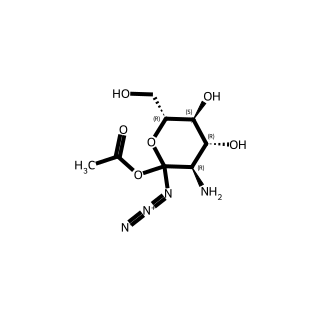 CC(=O)OC1(N=[N+]=[N-])O[C@H](CO)[C@@H](O)[C@H](O)[C@H]1N